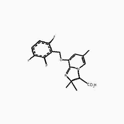 CC1=CN2C(=NC(C)(C)C2C(=O)O)C(OCc2c(F)ccc(F)c2F)=C1